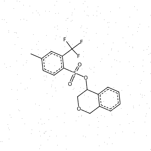 Cc1ccc(S(=O)(=O)OC2COCc3ccccc32)c(C(F)(F)F)c1